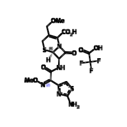 COCC1=C(C(=O)O)N2C(=O)C(NC(=O)/C(=N\OC)c3csc(N)n3)[C@H]2SC1.O=C(O)C(F)(F)F